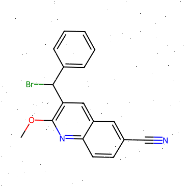 COc1nc2ccc(C#N)cc2cc1C(Br)c1ccccc1